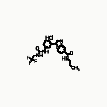 CCCNC(=O)c1ccn2c(-c3cccc(NC(=O)NCC(F)(F)F)c3)cnc2c1.Cl